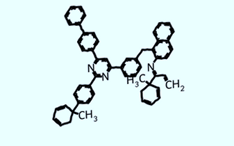 C=C/C(=N\c1ccc2ccccc2c1Cc1cccc(-c2cc(-c3ccc(-c4ccccc4)cc3)nc(-c3ccc(C4(C)C=CC=CC4)cc3)n2)c1)C1(C)C=CC=CC1